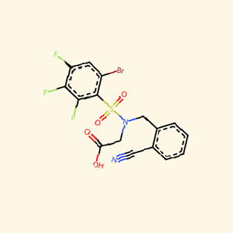 N#Cc1ccccc1CN(CC(=O)O)S(=O)(=O)c1c(Br)cc(F)c(F)c1F